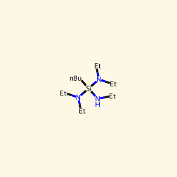 CCCC[Si](NCC)(N(CC)CC)N(CC)CC